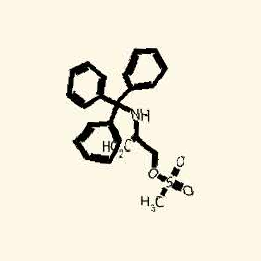 CS(=O)(=O)OCC(NC(c1ccccc1)(c1ccccc1)c1ccccc1)C(=O)O